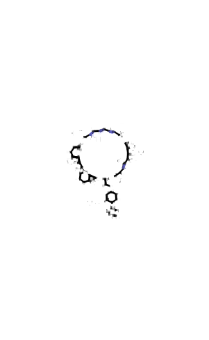 CO[C@@H]1C[C@H](C[C@@H](C)[C@@H]2CC(=O)[C@H](C)/C=C(\C)[C@@H](O)[C@@H](OC)C(=O)[C@H](C)C[C@H](C)/C=C/C=C/C=C(\C)[C@@H](C=O)C[C@@H]3CC[C@@H](C)[C@@](O)(O3)C(=O)C(=O)N3CCCC[C@H]3C(=O)O2)CC[C@@H]1n1ncnn1